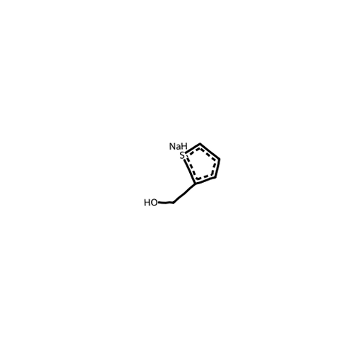 OCc1cccs1.[NaH]